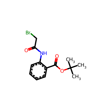 CC(C)(C)OC(=O)c1ccccc1NC(=O)CBr